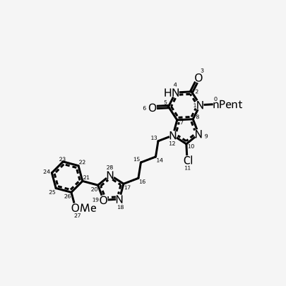 CCCCCn1c(=O)[nH]c(=O)c2c1nc(Cl)n2CCCCc1noc(-c2ccccc2OC)n1